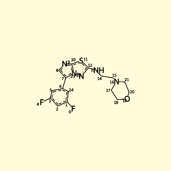 Fc1cc(F)cc(-c2cnc3sc(NCCN4CCOCC4)nn23)c1